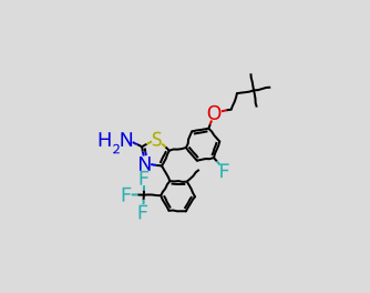 Cc1cccc(C(F)(F)F)c1-c1nc(N)sc1-c1cc(F)cc(OCCC(C)(C)C)c1